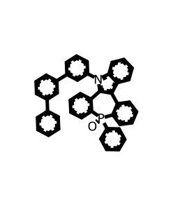 O=P1(c2ccccc2)c2ccccc2-c2c(n(-c3cccc(-c4cccc(-c5ccccc5)c4)c3)c3ccccc23)-c2ccccc21